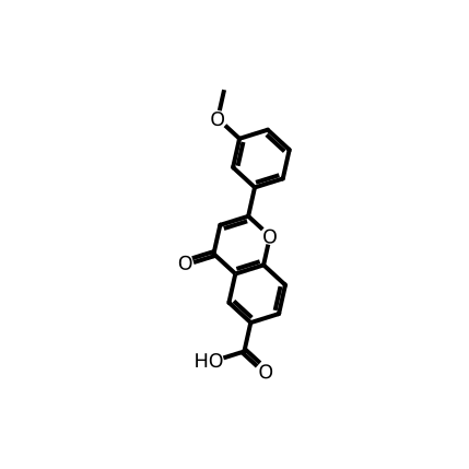 COc1cccc(-c2cc(=O)c3cc(C(=O)O)ccc3o2)c1